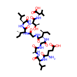 CC[C@H](C)[C@H](NC(=O)CNC(=O)[C@H](C)NC(=O)[C@H](CC(C)C)NC(=O)[C@@H](N)CCC(=O)O)C(=O)NCC(=O)N[C@H](C(=O)N[C@@H](CC(C)C)C(=O)N[C@H](C(=O)N[C@H](C(=O)O)C(C)C)[C@@H](C)O)[C@@H](C)CC